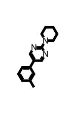 Cc1cccc(-c2cnc(N3CCCCC3)nc2)c1